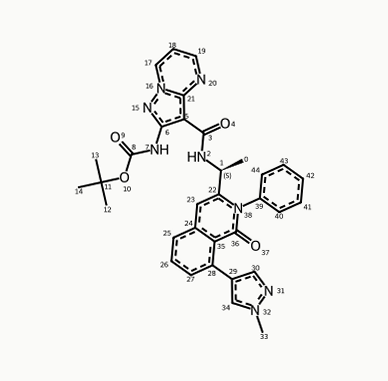 C[C@H](NC(=O)c1c(NC(=O)OC(C)(C)C)nn2cccnc12)c1cc2cccc(-c3cnn(C)c3)c2c(=O)n1-c1ccccc1